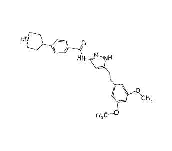 COc1cc(CCc2cc(NC(=O)c3ccc(C4CCNCC4)cc3)n[nH]2)cc(OC)c1